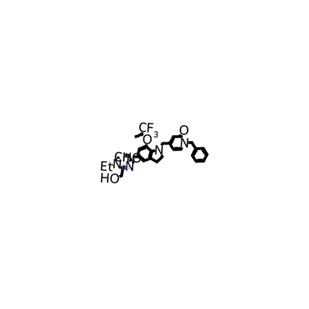 CCN(C=O)/C(CO)=N\N(C)c1cc2c(c(OC(C)C(F)(F)F)c1)N(Cc1ccn(Cc3ccccc3)c(=O)c1)CC2